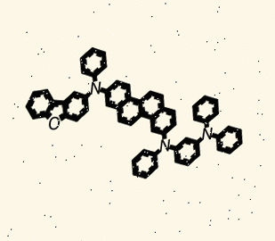 c1ccc(N(c2ccccc2)c2cccc(N(c3ccccc3)c3ccc4ccc5c6ccc(N(c7ccccc7)c7ccc8oc9ccccc9c8c7)cc6ccc5c4c3)c2)cc1